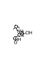 Cc1cccc(C)c1CNc1cc(-c2cccc(=O)[nH]2)cn2c(C)c(C)nc12.Cl